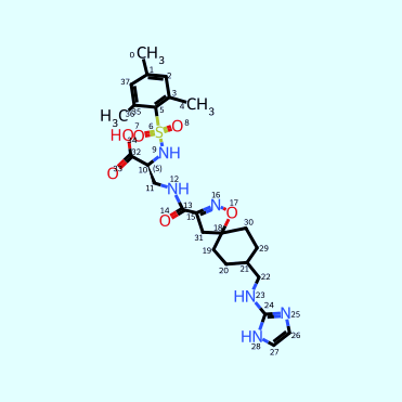 Cc1cc(C)c(S(=O)(=O)N[C@@H](CNC(=O)C2=NOC3(CCC(CNc4ncc[nH]4)CC3)C2)C(=O)O)c(C)c1